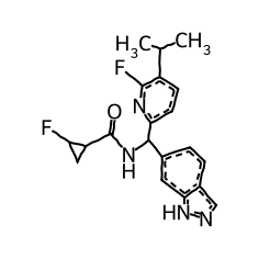 CC(C)c1ccc(C(NC(=O)C2CC2F)c2ccc3cn[nH]c3c2)nc1F